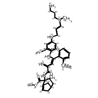 COc1cccc(OC)c1/C(=C/C(=N)C(=O)NC1(C(=O)OC(C)(C)C)C2=CCC(C2)CC1C)Nc1ccc(NCCCN(C)CCCN)cc1C(C)C